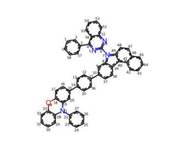 c1ccc(-c2nc(-n3c4cc(-c5ccc(-c6ccc7c(c6)N(c6ccccc6)c6ccccc6O7)cc5)ccc4c4c5ccccc5ccc43)nc3ccccc23)cc1